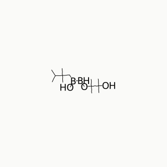 CC(C)C(C)(C)CB(O)BOC(C)(C)C(C)(C)O